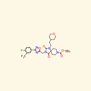 CC(C)(C)OC(=O)N1CCC2(CC1)C(=O)N(Cc1nc(-c3ccc(F)c(C(F)(F)F)c3)no1)C(=O)N2CCC1CCOCC1